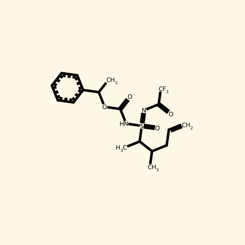 C=CCC(C)C(C)S(=O)(=NC(=O)C(F)(F)F)NC(=O)OC(C)c1ccccc1